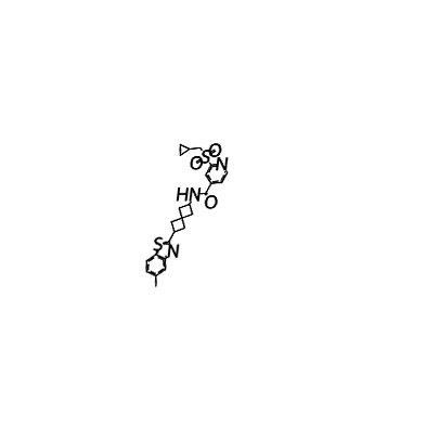 Cc1ccc2sc(C3CC4(CC(NC(=O)c5ccnc(S(=O)(=O)CC6CC6)c5)C4)C3)nc2c1